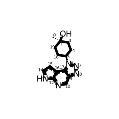 C[C@]1(O)CC[C@@H](n2nnc3cnc4[nH]ccc4c32)CC1